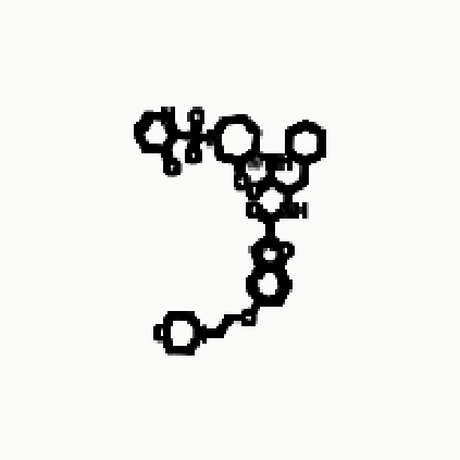 O=C1CC=CN=C1S(=O)(=O)N1CCC[C@H](NC(=O)C(CC2CCCCC2)NC(=O)c2cc3cc(OCCN4CCOCC4)ccc3o2)C(=O)C1